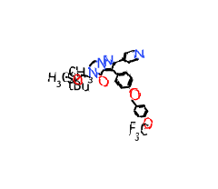 CC(C)(C)[Si](C)(C)OCCN1CCn2nc(-c3ccncc3)c(-c3ccc(OCc4ccc(OC(F)(F)F)cc4)cc3)c2C1=O